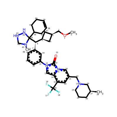 COC[C@H]1C[C@@H]([C@H](c2cccc(-n3cc4c(C(F)(F)F)cc(CN5CCC[C@H](C)C5)cn4c3=O)c2)C2(C3CC=CCC3)NNCN2C)C1